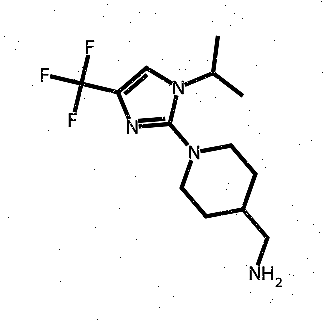 CC(C)n1cc(C(F)(F)F)nc1N1CCC(CN)CC1